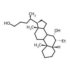 CC[C@H]1[C@@H](O)C2C3CC[C@H]([C@H](C)CCCO)[C@@]3(C)CCC2[C@@]2(C)CCCC[C@@H]12